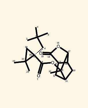 CC(C)(C)C[C@@]1(C(=O)OC2(C)C3CC4C(=O)OC2C4C3)CC1(C)C